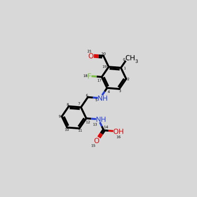 Cc1ccc(NCc2ccccc2NC(=O)O)c(F)c1C=O